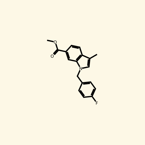 COC(=O)c1ccc2c(C)cn(Cc3ccc(F)cc3)c2c1